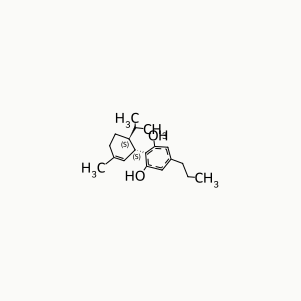 CCCc1cc(O)c([C@@H]2C=C(C)CC[C@H]2C(C)C)c(O)c1